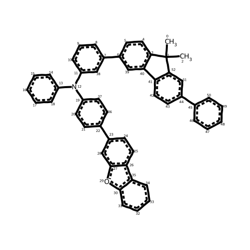 CC1(C)c2ccc(-c3cccc(N(c4ccccc4)c4ccc(-c5ccc6c(c5)oc5ccccc56)cc4)c3)cc2-c2ccc(-c3ccccc3)cc21